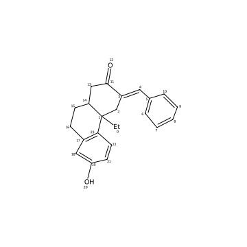 CCC12CC(=Cc3ccccc3)C(=O)CC1CCc1cc(O)ccc12